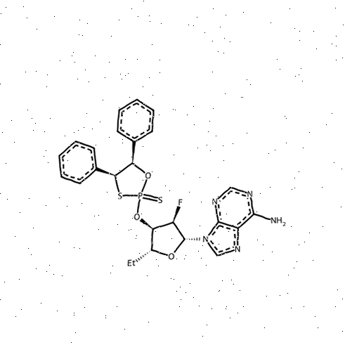 CC[C@H]1O[C@@H](n2cnc3c(N)ncnc32)[C@H](F)[C@@H]1OP1(=S)O[C@H](c2ccccc2)[C@H](c2ccccc2)S1